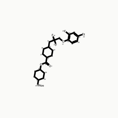 CCCCCCCCCC1CCC(OC(=O)C2CCC(CC(F)(F)COc3ccc(CC)cc3F)CC2)CC1